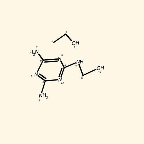 CCO.Nc1nc(N)nc(NCO)n1